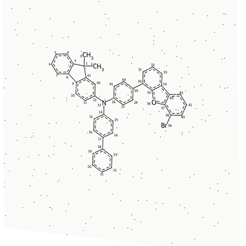 CC1(C)c2ccccc2-c2ccc(N(c3ccc(-c4ccccc4)cc3)c3ccc(-c4cccc5c4oc4c(Br)cccc45)cc3)cc21